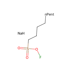 CCCCCCCCCS(=O)(=O)OF.[NaH]